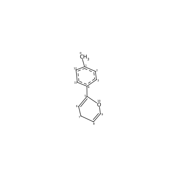 Cc1ccc(C2=CCC=CO2)cc1